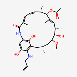 C=CCNc1c(O)cc2c(O)c1C[C@@H](C)C[C@H](OC)[C@H](O)[C@@H](C)/C=C(\C)[C@H](OC(C)=O)[C@@H](C)/C=C\C=C(/C)C(=O)N2